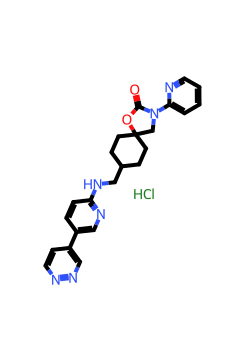 Cl.O=C1OC2(CCC(CNc3ccc(-c4ccnnc4)cn3)CC2)CN1c1ccccn1